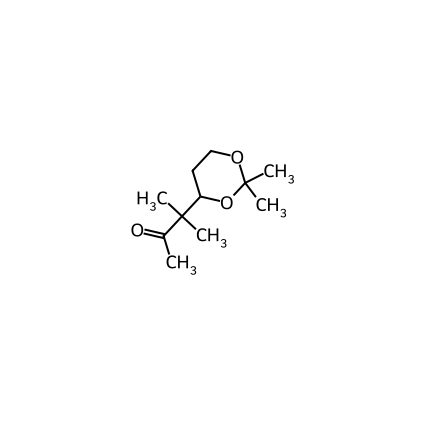 CC(=O)C(C)(C)C1CCOC(C)(C)O1